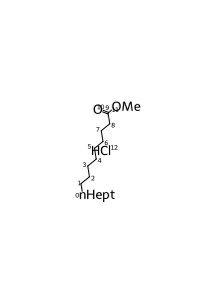 CCCCCCCCCCCCCCCC(=O)OC.Cl